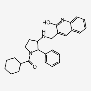 O=C(C1CCCCC1)N1CCC(NCc2cc3ccccc3nc2O)C1c1ccccc1